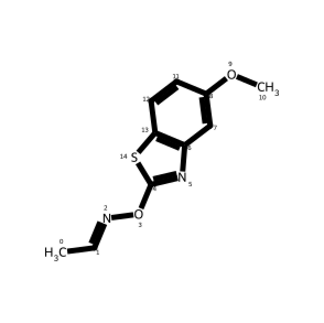 C/C=N/Oc1nc2cc(OC)ccc2s1